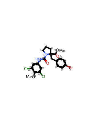 COC(=O)C1(Cc2ccc(Br)cc2)CCCN1C(=O)Nc1cc(Cl)c(OC)c(Cl)c1